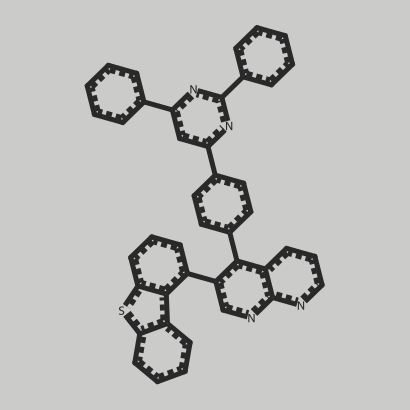 c1ccc(-c2cc(-c3ccc(-c4c(-c5cccc6sc7ccccc7c56)cnc5ncccc45)cc3)nc(-c3ccccc3)n2)cc1